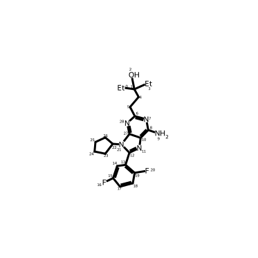 CCC(O)(CC)C[CH]c1nc(N)c2nc(-c3cc(F)ccc3F)n(C3CCCC3)c2n1